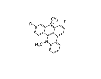 CN1c2ccccc2-c2cccc3c2c1c1ccc(Cl)cc1[n+]3C.[I-]